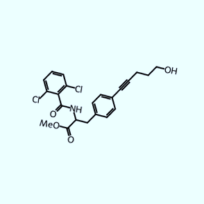 COC(=O)C(Cc1ccc(C#CCCCO)cc1)NC(=O)c1c(Cl)cccc1Cl